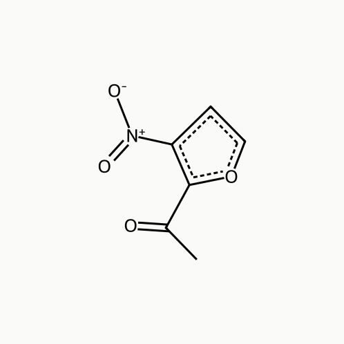 CC(=O)c1occc1[N+](=O)[O-]